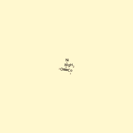 [MgH2].[Ni].[O]=[Co]